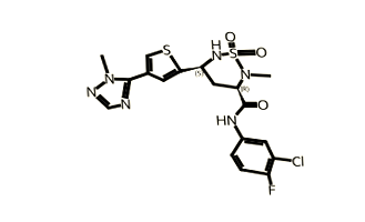 CN1[C@@H](C(=O)Nc2ccc(F)c(Cl)c2)C[C@@H](c2cc(-c3ncnn3C)cs2)NS1(=O)=O